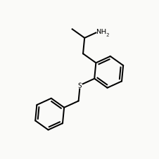 CC(N)Cc1ccccc1SCc1ccccc1